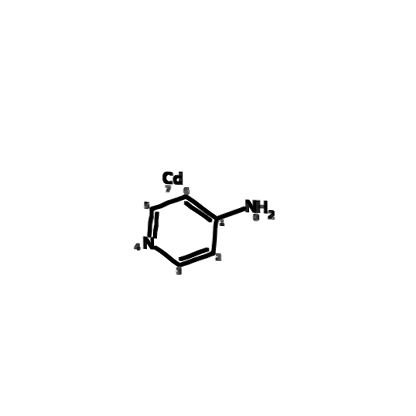 Nc1ccncc1.[Cd]